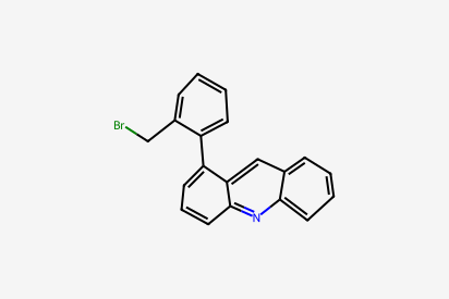 BrCc1ccccc1-c1cccc2nc3ccccc3cc12